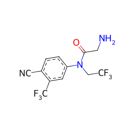 N#Cc1ccc(N(CC(F)(F)F)C(=O)CN)cc1C(F)(F)F